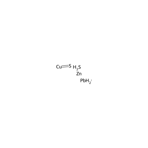 S.[PbH2].[S]=[Cu].[Zn]